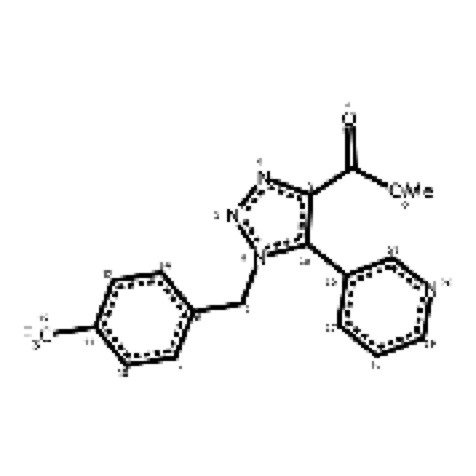 COC(=O)c1nnn(Cc2ccc(C(F)(F)F)cc2)c1-c1cccnc1